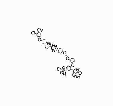 CCS(=O)(=O)Nc1ccc(Oc2cccc(OCCOC3CCN(c4ncc(C(=O)NC5CCC(Oc6ccc(C#N)c(Cl)c6)CC5)cn4)CC3)c2)c(-c2cn(C)c(=O)c3[nH]ccc23)c1